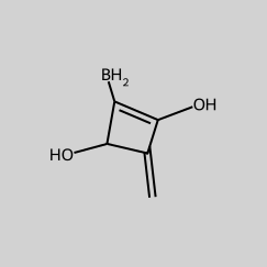 BC1=C(O)C(=C)C1O